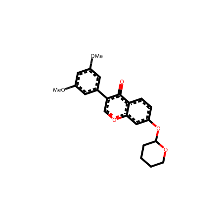 COc1cc(OC)cc(-c2coc3cc(OC4CCCCO4)ccc3c2=O)c1